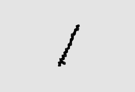 C=CC(=O)OCCOCCOCCOCCOCCOCC